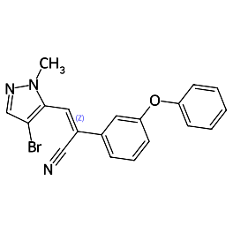 Cn1ncc(Br)c1/C=C(\C#N)c1cccc(Oc2ccccc2)c1